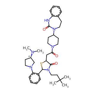 CN(C)[C@@H]1CCN(c2ccccc2C2SC(CC(=O)N3CCC(N4CCc5ccccc5NC4=O)CC3)C(=O)N2CCC(C)(C)C)C1